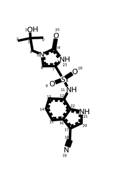 CC(C)(O)Cn1cc(S(=O)(=O)Nc2cccc3c(C#N)c[nH]c23)[nH]c1=O